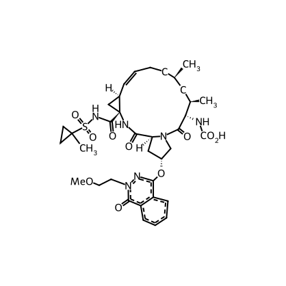 COCCn1nc(O[C@@H]2C[C@H]3C(=O)N[C@]4(C(=O)NS(=O)(=O)C5(C)CC5)C[C@H]4C=CCC[C@@H](C)C[C@@H](C)[C@H](NC(=O)O)C(=O)N3C2)c2ccccc2c1=O